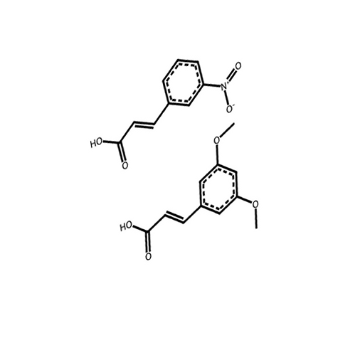 COc1cc(/C=C/C(=O)O)cc(OC)c1.O=C(O)/C=C/c1cccc([N+](=O)[O-])c1